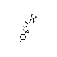 C=C(CCC(F)(F)F)CC(C)CC1(C2=CC[C@H](C)CC2)CC1